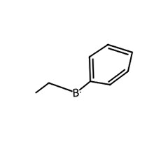 CC[B]c1ccccc1